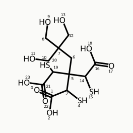 O=C(O)C(S)C(CC(CO)(CO)CO)(C(S)C(=O)O)C(S)C(=O)O